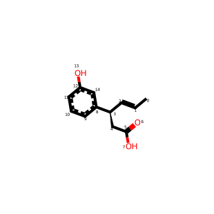 CC=C[C@@H](CC(=O)O)c1cccc(O)c1